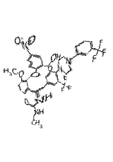 CCNC(=O)NC(c1ccc(N2CCN(c3cccc(C(F)(F)F)c3)CC2)c(C(F)(F)F)c1)c1cccc(OC)c1Oc1ccc([N+](=O)[O-])cc1C(=O)O